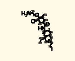 C=CCN1Cc2ccc(NC(=O)c3cc(C)c(OCCN)c(Cl)c3)cc2C(CC)C1